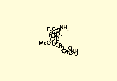 COc1cc2nc(C)nc(N[C@H](C)c3cc(N)cc(C(F)(F)F)c3)c2cc1OC1CCN(Cc2cccc(N3CCC(=O)NC3=O)c2)CC1